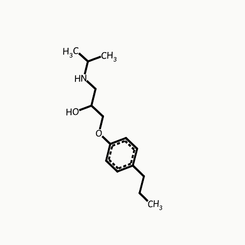 CCCc1ccc(OCC(O)CNC(C)C)cc1